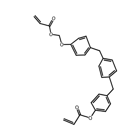 C=CC(=O)OCOc1ccc(Cc2ccc(Cc3ccc(OC(=O)C=C)cc3)cc2)cc1